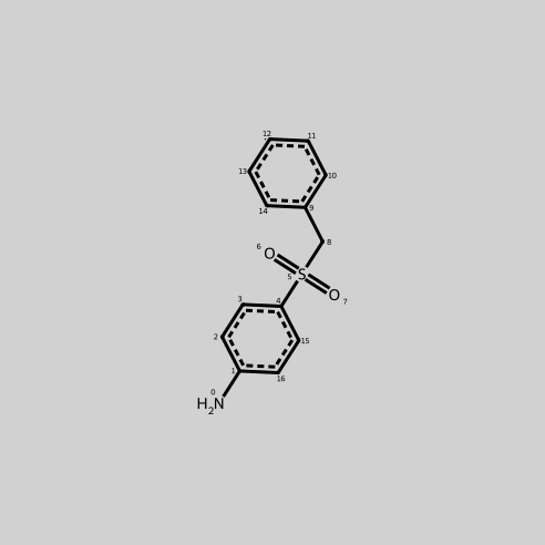 Nc1ccc(S(=O)(=O)Cc2cc[c]cc2)cc1